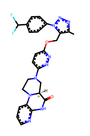 Cc1nnn(-c2ccc(C(F)F)cc2)c1COc1ccc(N2CCN3c4cccnc4NC(=O)[C@@H]3C2)nn1